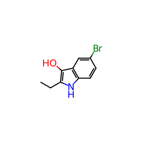 CCc1[nH]c2ccc(Br)cc2c1O